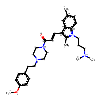 COc1ccc(CCN2CCN(C(=O)/C=C/c3c(C)n(CCCN(C)C)c4ccc(C)cc34)CC2)cc1